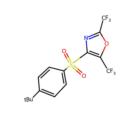 CC(C)(C)c1ccc(S(=O)(=O)c2nc(C(F)(F)F)oc2C(F)(F)F)cc1